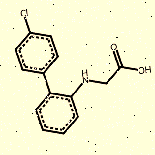 O=C(O)CNc1ccccc1-c1ccc(Cl)cc1